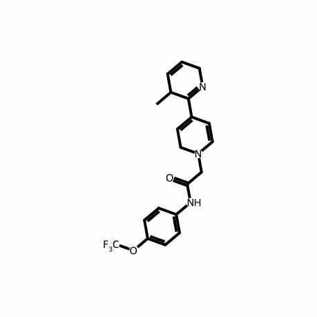 CC1C=CCN=C1C1=CCN(CC(=O)Nc2ccc(OC(F)(F)F)cc2)C=C1